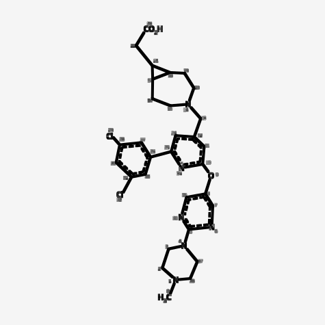 CN1CCN(c2ncc(Oc3cc(CN4CCC5C(CC4)C5CC(=O)O)cc(-c4cc(Cl)cc(Cl)c4)n3)cn2)CC1